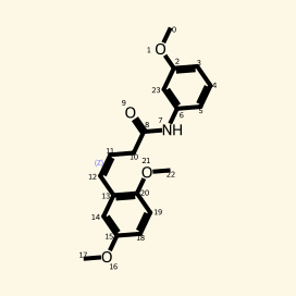 COc1cccc(NC(=O)C/C=C\c2cc(OC)ccc2OC)c1